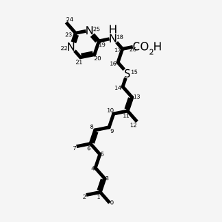 CC(C)=CCCC(C)=CCCC(C)=CCSCC(Nc1ccnc(C)n1)C(=O)O